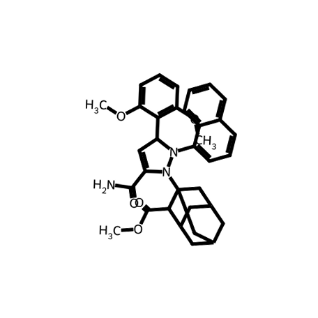 COC(=O)C1C2CC3CC(C2)CC1(N1C(C(N)=O)=CC(c2c(OC)cccc2OC)N1c1cccc2ccccc12)C3